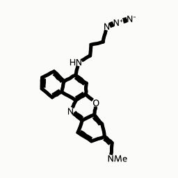 CNC=c1ccc2c(c1)Oc1cc(NCCCN=[N+]=[N-])c3ccccc3c1N=2